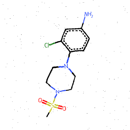 CS(=O)(=O)N1CCN(c2ccc(N)cc2Cl)CC1